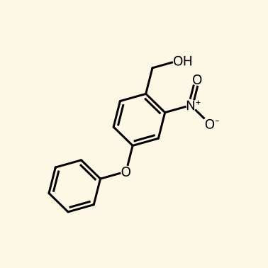 O=[N+]([O-])c1cc(Oc2ccccc2)ccc1CO